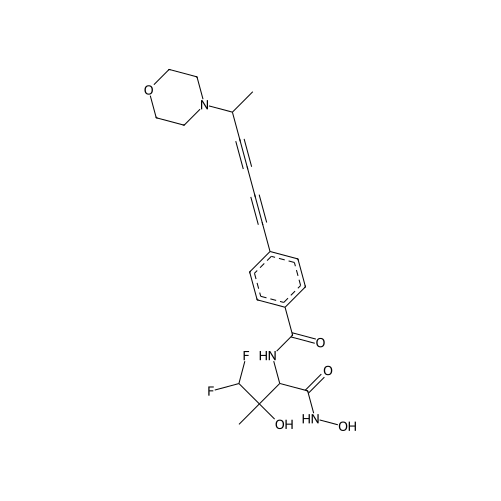 CC(C#CC#Cc1ccc(C(=O)NC(C(=O)NO)C(C)(O)C(F)F)cc1)N1CCOCC1